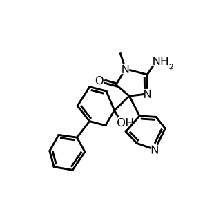 CN1C(=O)C(c2ccncc2)(C2(O)C=CC=C(c3ccccc3)C2)N=C1N